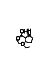 CCOCC.O=C(O)C1CCCN1